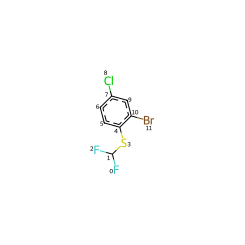 FC(F)Sc1ccc(Cl)cc1Br